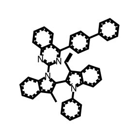 C=Cc1c(-c2c(C)c3ccccc3n2-c2nc(-c3ccc(-c4ccccc4)cc3)c3ccccc3n2)n(-c2ccccc2)c2ccccc12